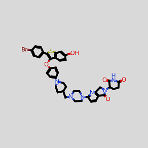 O=C1CCC(N2Cc3nc(N4CCN(CC5CCN(c6ccc(Oc7c(-c8ccc(Br)cc8)sc8cc(O)ccc78)cc6)CC5)CC4)ccc3C2=O)C(=O)N1